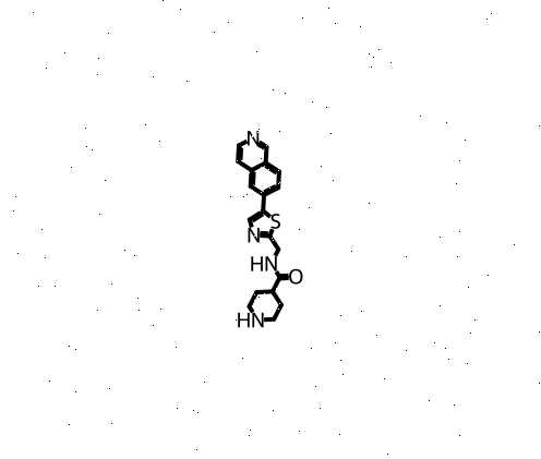 O=C(NCc1ncc(-c2ccc3cnccc3c2)s1)C1CCNCC1